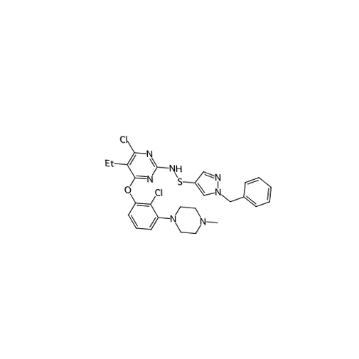 CCc1c(Cl)nc(NSc2cnn(Cc3ccccc3)c2)nc1Oc1cccc(N2CCN(C)CC2)c1Cl